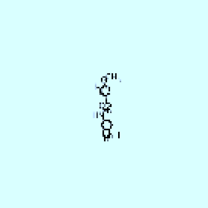 COc1ccc(-c2cnc(Nc3ccc4[nH]ncc4c3)o2)cc1I